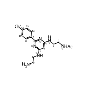 CC(=O)NCCNc1cc(NCCN)nc(-c2ccc(Cl)cc2)n1